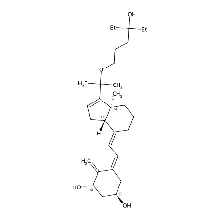 C=C1C(=CC=C2CCC[C@]3(C)C(C(C)(C)OCCCC(O)(CC)CC)=CC[C@@H]23)C[C@@H](O)C[C@@H]1O